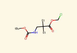 CCC(CC)(CNC(=O)OC(C)(C)C)C(=O)OCCl